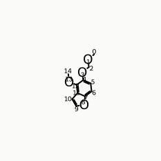 COCOc1ccc2occc2c1OC